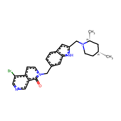 C[C@@H]1CCN(Cc2cc3ccc(Cn4ccc5c(Br)cncc5c4=O)cc3[nH]2)[C@H](C)C1